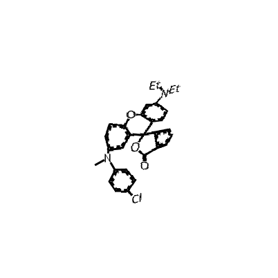 CCN(CC)c1ccc2c(c1)Oc1ccc(N(C)c3ccc(Cl)cc3)cc1C21OC(=O)c2ccccc21